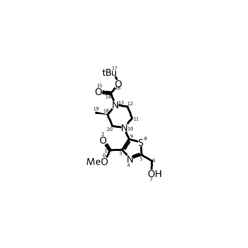 COC(=O)c1nc(CO)sc1N1CCN(C(=O)OC(C)(C)C)[C@H](C)C1